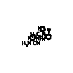 C[C@H](Nc1ncnc(N)c1C#N)c1nc2cccc(C3CC3)c2n1-c1cccnc1